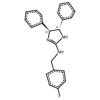 Fc1ccc(CNC2=N[C@@H](c3ccccc3)[C@H](c3ccccc3)N2)cc1